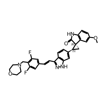 COc1ccc2c(c1)[C@]1(C[C@H]1c1ccc3c(C=Cc4cc(F)c(CN5CCOCC5)c(F)c4)n[nH]c3c1)C(=O)N2